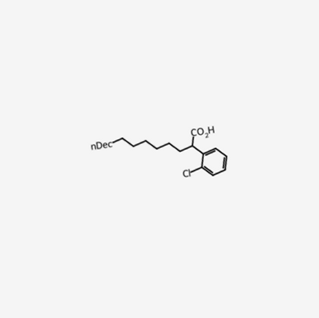 CCCCCCCCCCCCCCCCC(C(=O)O)c1ccccc1Cl